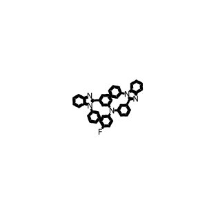 Fc1ccc(N(c2cccc(-c3nc4ccccc4n3-c3ccccc3)c2)c2cccc(-c3nc4ccccc4n3-c3ccccc3)c2)cc1